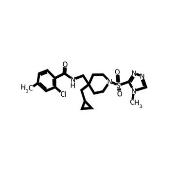 Cc1ccc(C(=O)NCC2(CC3CC3)CCN(S(=O)(=O)c3nncn3C)CC2)c(Cl)c1